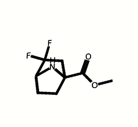 COC(=O)C12CCC(N1)C(F)(F)C2